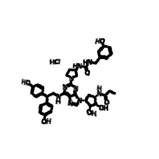 CCC(=O)N[C@H]1C[C@@H](n2cnc3c(NCC(c4ccc(O)cc4)c4ccc(O)cc4)nc(N4CCC(NC(=O)NCc5cccc(O)c5)C4)nc32)[C@H](O)[C@@H]1O.Cl